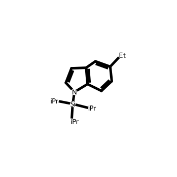 CCc1ccc2c(ccn2[Si](C(C)C)(C(C)C)C(C)C)c1